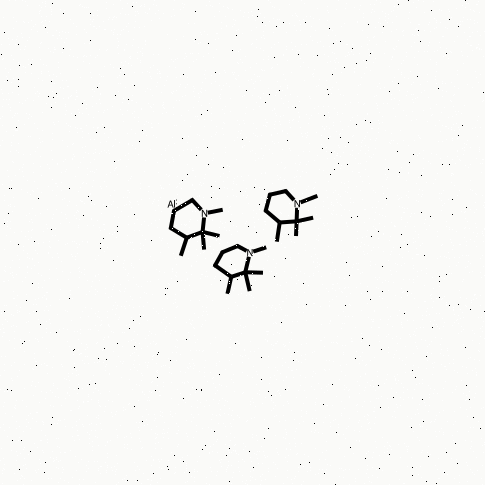 CC1CCCN(C)C1(C)C.CC1CCCN(C)C1(C)C.CC1CCCN(C)C1(C)C.[Al]